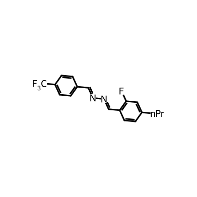 CCCc1ccc(C=NN=Cc2ccc(C(F)(F)F)cc2)c(F)c1